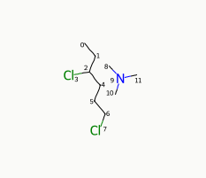 CCC(Cl)CCCCl.CN(C)C